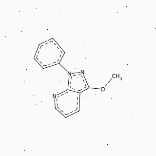 COc1nn(-c2ccccc2)c2ncccc12